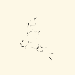 C=CC(=O)N1Cc2cc(CN3C[C@H]4CC(=O)N(c5cc(C(F)(F)F)cc(C)n5)[C@@H]4C(=O)N(C)c4cccc(Cl)c43)nn2C[C@H]1C